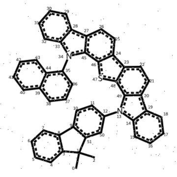 CC1(C)c2ccccc2-c2ccc(-n3c4ccccc4c4ccc5c6ccc7c8ccccc8n(-c8cccc9ccccc89)c7c6sc5c43)cc21